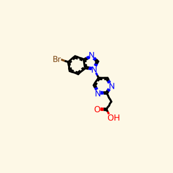 O=C(O)Cc1ncc(-n2cnc3cc(Br)ccc32)cn1